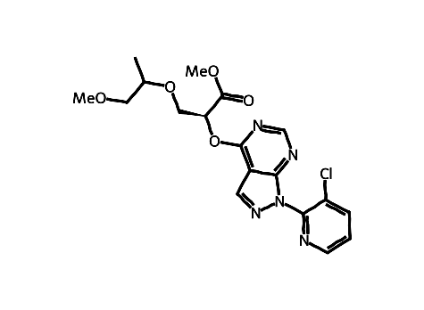 COCC(C)OC[C@H](Oc1ncnc2c1cnn2-c1ncccc1Cl)C(=O)OC